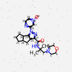 CC(C)(CN1CCOCC1)NC(=O)c1nn(-c2c[n+]([O-])ccn2)c2c1CC1CCCC21